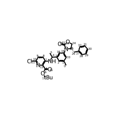 Cc1cc(C(C)Nc2ccc(Cl)nc2C(=O)OC(C)(C)C)cc(N2C(=O)OC[C@@H]2Cc2ccccc2)c1